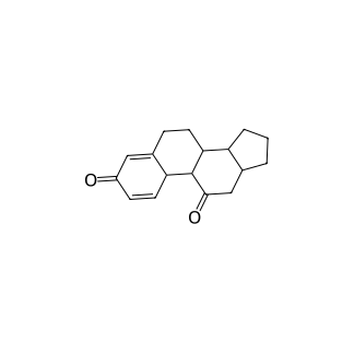 O=C1C=CC2C(=C1)CCC1C3CCCC3CC(=O)C21